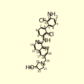 Nc1cccc(-c2cccc(Nc3nccc4cc(CN5CC[C@@H](O)C5)cnc34)c2Cl)c1Cl